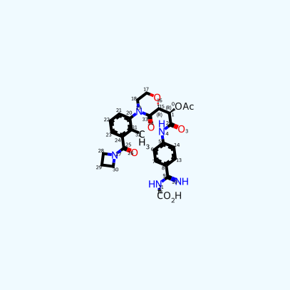 CC(=O)O[C@@H](C(=O)Nc1ccc(C(=N)NC(=O)O)cc1)[C@H]1OCCN(c2cccc(C(=O)N3CCC3)c2C)C1=O